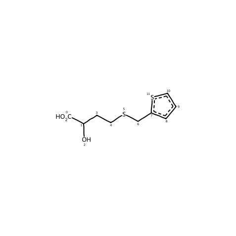 O=C(O)C(O)CCSCc1cccs1